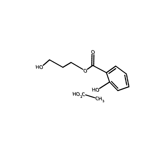 CC(=O)O.O=C(OCCCO)c1ccccc1O